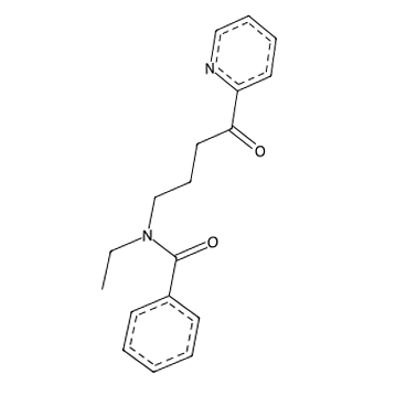 CCN(CCCC(=O)c1ccccn1)C(=O)c1ccccc1